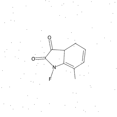 CC1=C2C(CC=C1)C(=O)C(=O)N2F